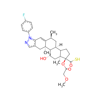 COCC(=O)O[C@]1(C(=O)S)CCC2[C@@H]3C[C@H](C)C4=Cc5c(cnn5-c5ccc(F)cc5)C[C@]4(C)C3[C@@H](O)C[C@@]21C